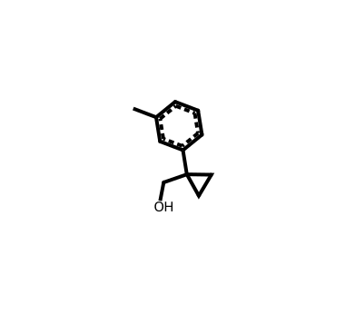 Cc1cccc(C2(CO)CC2)c1